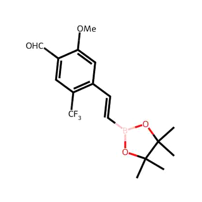 COc1cc(C=CB2OC(C)(C)C(C)(C)O2)c(C(F)(F)F)cc1C=O